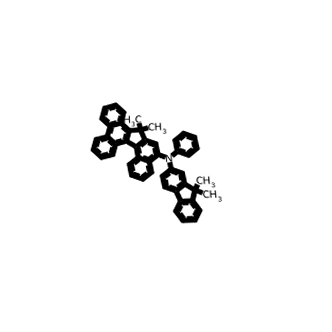 CC1(C)c2ccccc2-c2ccc(N(c3ccccc3)c3cc4c(c5ccccc35)-c3c(c5ccccc5c5ccccc35)C4(C)C)cc21